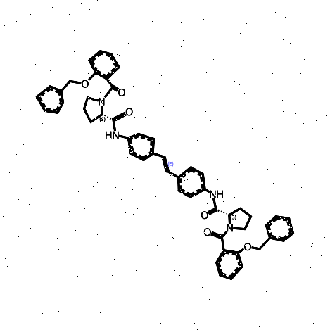 O=C(Nc1ccc(/C=C/c2ccc(NC(=O)[C@@H]3CCCN3C(=O)c3ccccc3OCc3ccccc3)cc2)cc1)[C@@H]1CCCN1C(=O)c1ccccc1OCc1ccccc1